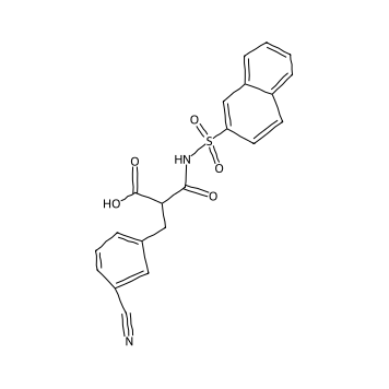 N#Cc1cccc(CC(C(=O)O)C(=O)NS(=O)(=O)c2ccc3ccccc3c2)c1